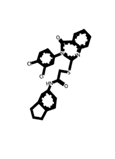 O=C(CSc1nc2ccccc2c(=O)n1-c1ccc(Cl)c(Cl)c1)Nc1ccc2c(c1)CCC2